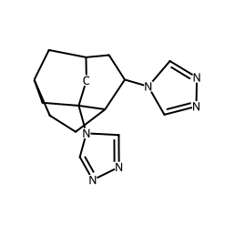 c1nncn1C1CC2CC3CCC1C(n1cnnc1)(C3)C2